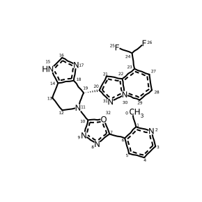 Cc1ncccc1-c1nnc(N2CCc3[nH]cnc3[C@@H]2c2cc3c(C(F)F)cccn3n2)o1